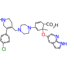 CC1(Oc2cnc3[nH]ccc3c2)C=C(N2CCN(CC3=C(c4ccc(Cl)cc4)CNCC3)CC2)C=CC1C(=O)O